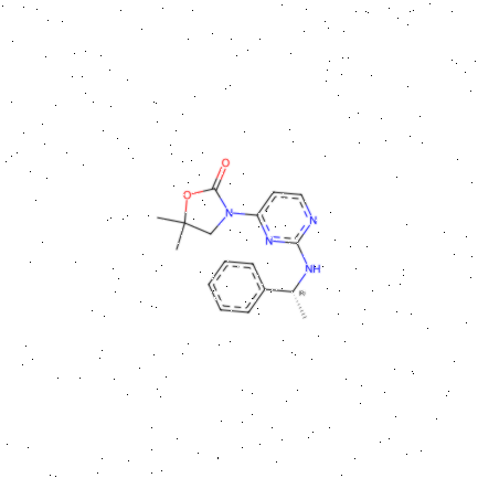 C[C@@H](Nc1nccc(N2CC(C)(C)OC2=O)n1)c1ccccc1